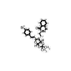 CC1(C)O[C@@H]2O[C@@H](/C=C/c3ccc(Br)cc3)[C@H](CCn3nnc4ccccc4c3=O)[C@@H]2O1